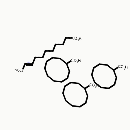 CCCCCCCC/C=C/CCCCCCCC(=O)O.O=C(O)C1CCCCCCCCC1.O=C(O)C1CCCCCCCCC1.O=C(O)C1CCCCCCCCC1